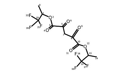 CC(OC(=O)C(=O)CC(=O)C(=O)OC(C)C(F)(F)F)C(F)(F)F